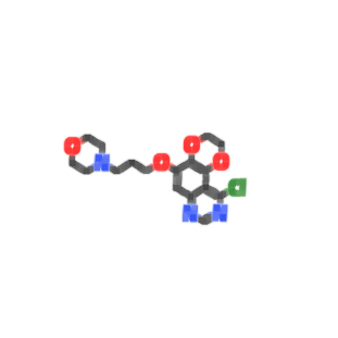 Clc1ncnc2cc(OCCCN3CCOCC3)c3c(c12)OCCO3